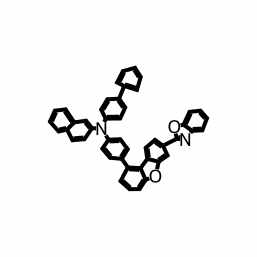 c1ccc(-c2ccc(N(c3ccc(-c4cccc5oc6cc(-c7nc8ccccc8o7)ccc6c45)cc3)c3ccc4ccccc4c3)cc2)cc1